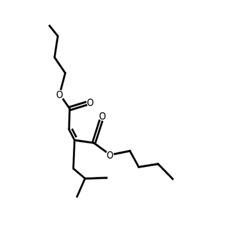 CCCCOC(=O)C=C(CC(C)C)C(=O)OCCCC